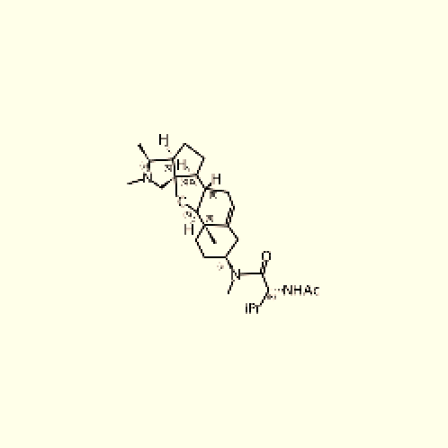 CC(=O)N[C@@H](C(=O)N(C)[C@H]1CC[C@@]2(C)C(=CC[C@H]3[C@@H]4CC[C@@H]5[C@H](C)N(C)C[C@@]54CC[C@@H]32)C1)C(C)C